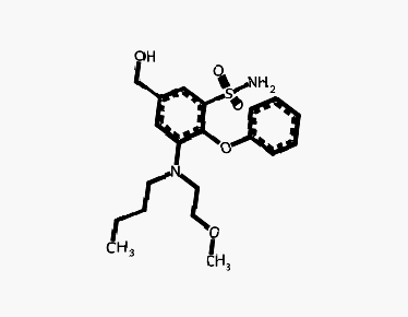 CCCCN(CCOC)c1cc(CO)cc(S(N)(=O)=O)c1Oc1ccccc1